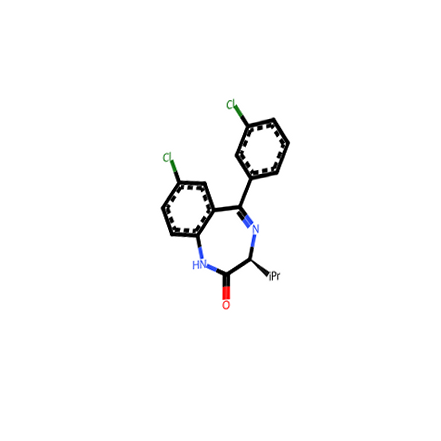 CC(C)[C@@H]1N=C(c2cccc(Cl)c2)c2cc(Cl)ccc2NC1=O